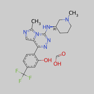 Cc1ncc2c(-c3ccc(C(F)(F)F)cc3O)nnc(N[C@@H]3CCCN(C)C3)n12.O=CO